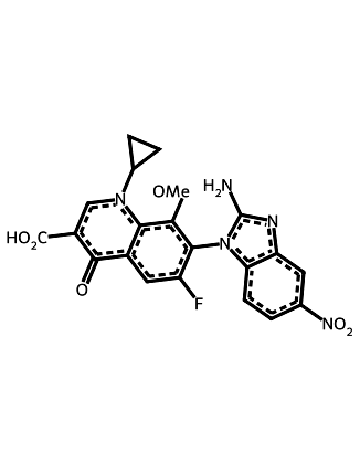 COc1c(-n2c(N)nc3cc([N+](=O)[O-])ccc32)c(F)cc2c(=O)c(C(=O)O)cn(C3CC3)c12